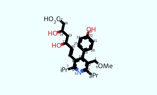 COCc1c(C(C)C)nc(C(C)C)c(C=CC(O)CC(O)CC(=O)O)c1-c1ccc(O)cc1